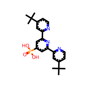 CC(C)(C)c1ccnc(-c2cc(P(=O)(O)O)cc(-c3cc(C(C)(C)C)ccn3)n2)c1